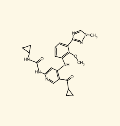 COc1c(Nc2cc(NC(=O)NC3CC3)ncc2C(=O)C2CC2)cccc1-c1ncn(C)n1